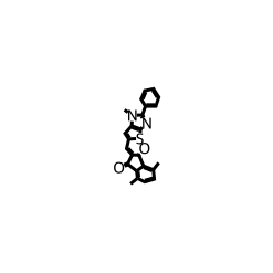 Cc1ccc(C)c2c1C(=O)C(=Cc1cc3c(nc(-c4ccccc4)n3C)s1)C2=O